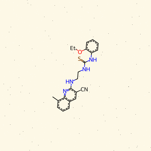 CCOc1ccccc1NC(=S)NCCNc1nc2c(C)cccc2cc1C#N